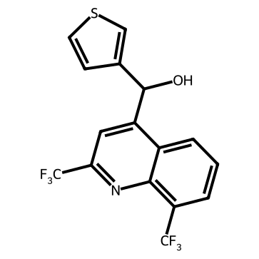 OC(c1ccsc1)c1cc(C(F)(F)F)nc2c(C(F)(F)F)cccc12